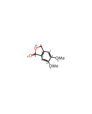 COc1cc2c(cc1OC)C(=O)O[CH]2